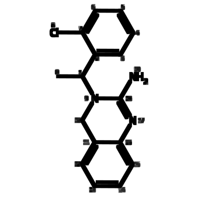 CC(c1ccccc1Cl)N1Cc2ccccc2N=C1N